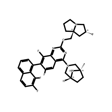 C[C@@]12CC[C@H](CN(c3nc(OC[C@@]45CCCN4C[C@H](F)C5)nc4c(F)c(-c5cccc6ccc(F)c(F)c56)c(F)cc34)C1)N2